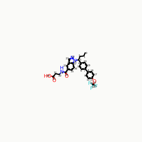 CCCC(c1ccc(-c2ccc(OC(F)(F)F)cc2)cc1)n1ncc2cc(C(=O)NCCC(=O)O)ccc21